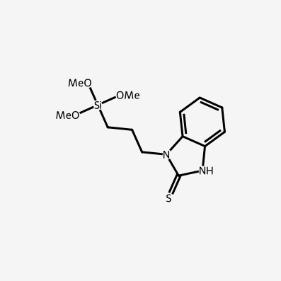 CO[Si](CCCn1c(=S)[nH]c2ccccc21)(OC)OC